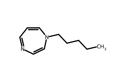 CCCCCN1C=CC=NC=C1